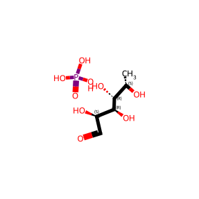 C[C@H](O)[C@@H](O)[C@@H](O)[C@H](O)C=O.O=P(O)(O)O